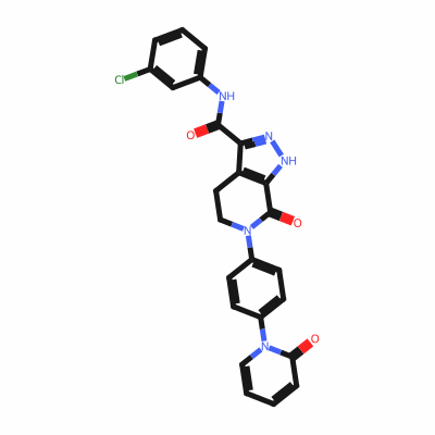 O=C(Nc1cccc(Cl)c1)c1n[nH]c2c1CCN(c1ccc(-n3ccccc3=O)cc1)C2=O